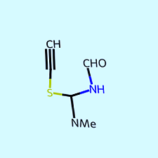 C#CSC(NC)NC=O